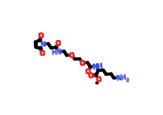 COC(=O)C(CCCCN)NC(=O)COCCOCCNC(=O)CCN1C(=O)C=CC1=O